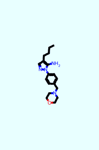 CCCCc1cnn(-c2ccc(CN3CCOCC3)cc2)c1N